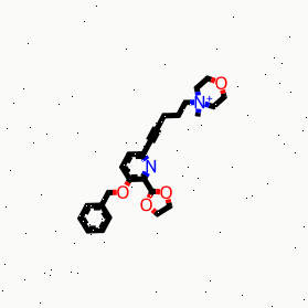 C[N+]1(CCCC#Cc2ccc(OCc3ccccc3)c(C3OCCO3)n2)CCOCC1